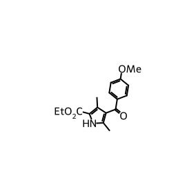 CCOC(=O)c1[nH]c(C)c(C(=O)c2ccc(OC)cc2)c1C